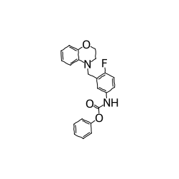 O=C(Nc1ccc(F)c(CN2CCOc3ccccc32)c1)Oc1ccccc1